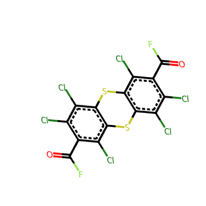 O=C(F)c1c(Cl)c(Cl)c2c(c1Cl)Sc1c(Cl)c(Cl)c(C(=O)F)c(Cl)c1S2